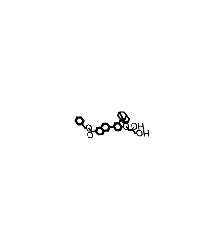 O=C(OCc1ccccc1)c1ccc2cc(-c3ccc(OC[C@H](O)CO)c(C45CC6CC(CC(C6)C4)C5)c3)ccc2c1